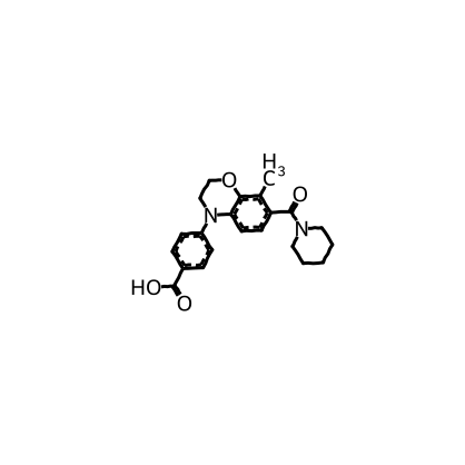 Cc1c(C(=O)N2CCCCC2)ccc2c1OCCN2c1ccc(C(=O)O)cc1